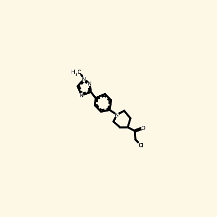 Cn1cnc(-c2ccc(N3CCC(C(=O)CCl)CC3)cc2)n1